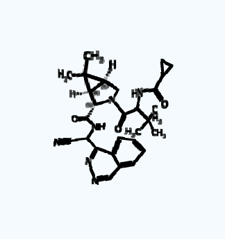 CC(C)(C)C(NC(=O)C1CC1)C(=O)N1C[C@H]2[C@@H]([C@H]1C(=O)NC(C#N)c1nncc3ccccc13)C2(C)C